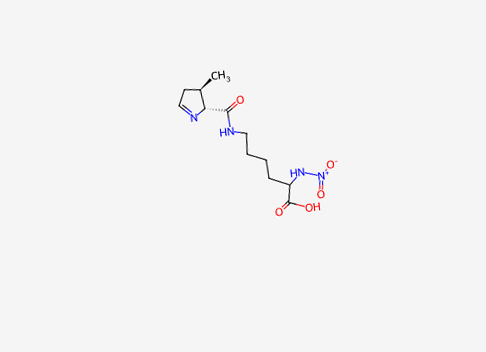 C[C@@H]1CC=N[C@H]1C(=O)NCCCCC(N[N+](=O)[O-])C(=O)O